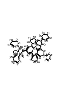 C1=CC(c2ccccc2)Cc2c1n(-c1c(-c3ccccc3)cc(-c3nc(-c4ccccc4)c4oc5ccccc5c4n3)cc1-c1ccccc1)c1ccc(-c3ccccc3)cc21